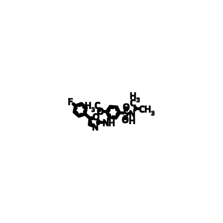 COc1ccc(S(=O)(=O)NC(C)C)cc1Nc1ncc(-c2ccc(F)cc2)o1